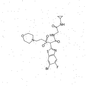 O=C(CNC(=O)C(c1nc2cc(F)c(Br)cc2s1)S(=O)(=O)CCN1CCOCC1)NC1CC1